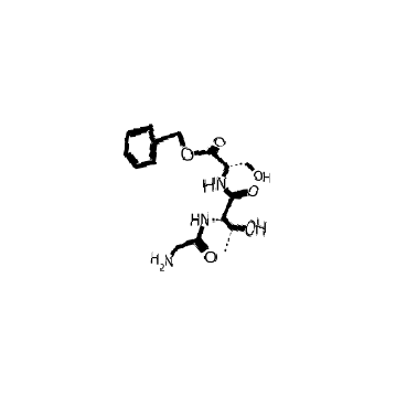 C[C@@H](O)[C@H](NC(=O)CN)C(=O)N[C@@H](CO)C(=O)OCc1ccccc1